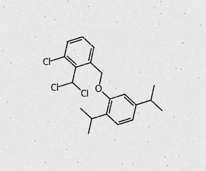 CC(C)c1ccc(C(C)C)c(OCc2cccc(Cl)c2C(Cl)Cl)c1